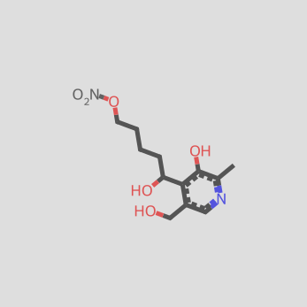 Cc1ncc(CO)c(C(O)CCCCO[N+](=O)[O-])c1O